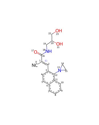 N#C/C(=C\c1ccc2ccccc2c1N1CC1)C(=O)NCC(O)CO